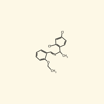 CCOc1ccccc1/C=N/C(C)c1ccc(Cl)cc1Cl